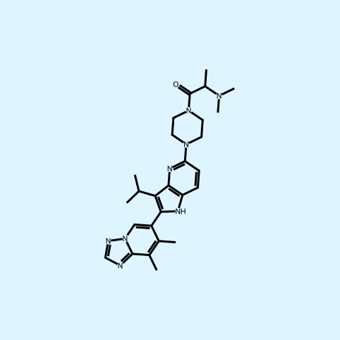 Cc1c(-c2[nH]c3ccc(N4CCN(C(=O)C(C)N(C)C)CC4)nc3c2C(C)C)cn2ncnc2c1C